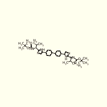 CC(C)[C@H](NC(=O)OC(C)(C)C)c1ncc(-c2ccc(-c3ccc(-c4cnc([C@@H](NC(=O)OC(C)(C)C)C(C)C)[nH]4)cc3)cc2)[nH]1